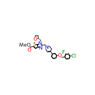 COC(=O)c1cc2nc(CN3CC=C(c4cccc(OCc5ccc(Cl)cc5F)c4)CC3)n(C[C@@H]3CCO3)c2s1